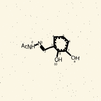 CC(=O)N/N=C/c1cccc(O)c1O